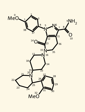 COc1ccc(-n2nc(C(N)=O)c3c2C(=O)N(N2CCC(N4CCCCC4c4ccccc4OC)CC2)CC3)cc1